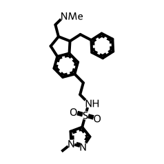 CNCC1Cc2ccc(CCNS(=O)(=O)c3cnn(C)c3)cc2C1Cc1ccccc1